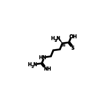 N=C(N)NCCC[C@H](N)C(O)=S